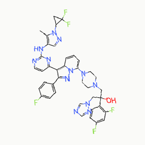 Cc1c(Nc2nccc(-c3c(-c4ccc(F)cc4)nn4c(N5CCN(CC(O)(Cn6cncn6)c6ccc(F)cc6F)CC5)cccc34)n2)cnn1C1CC1(F)F